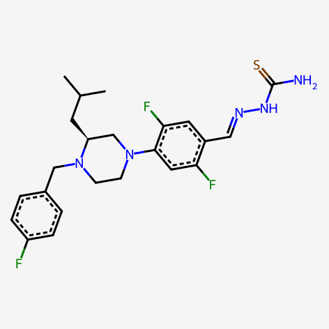 CC(C)C[C@H]1CN(c2cc(F)c(C=NNC(N)=S)cc2F)CCN1Cc1ccc(F)cc1